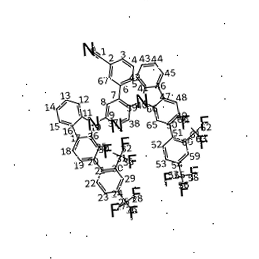 N#Cc1cccc(-c2cc(-n3c4ccccc4c4ccc(-c5ccc(C(F)(F)F)cc5C(F)(F)F)cc43)ncc2-n2c3ccccc3c3ccc(-c4ccc(C(F)(F)F)cc4C(F)(F)F)cc32)c1